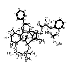 CC(=O)O[C@@]12CO[C@@H]1C[C@@H]1O[Si](C)(C)O[Si](C)(C)O[C@H]3C(=O)[C@@]1(C)[C@@H]2[C@H](OC(=O)c1ccccc1)[C@]1(O)C[C@H](OC(=O)[C@H](C)[C@@H](NC(=O)OC(C)(C)C)c2ccccc2)C(C)=C3C1(C)C